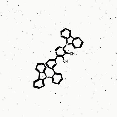 N#Cc1c(-c2cccc(-c3ccccc3-n3c4ccccc4c4ccccc43)c2)ccc(-n2c3ccccc3c3ccccc32)c1C#N